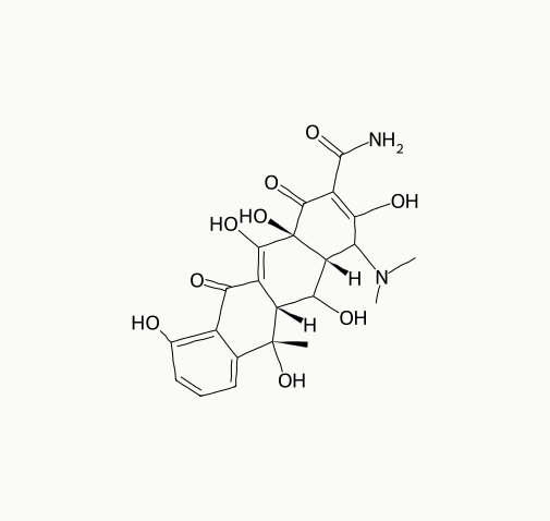 CN(C)C1C(O)=C(C(N)=O)C(=O)[C@@]2(O)C(O)=C3C(=O)c4c(O)cccc4[C@@](C)(O)[C@H]3C(O)[C@@H]12